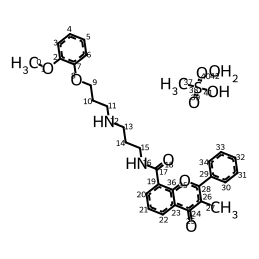 COc1ccccc1OCCCNCCCNC(=O)c1cccc2c(=O)c(C)c(-c3ccccc3)oc12.CS(=O)(=O)O.O